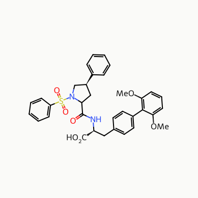 COc1cccc(OC)c1-c1ccc(C[C@H](NC(=O)C2C[C@H](c3ccccc3)CN2S(=O)(=O)c2ccccc2)C(=O)O)cc1